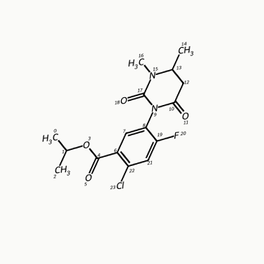 CC(C)OC(=O)c1cc(N2C(=O)CC(C)N(C)C2=O)c(F)cc1Cl